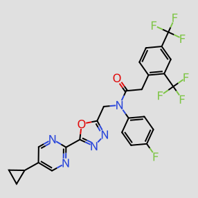 O=C(Cc1ccc(C(F)(F)F)cc1C(F)(F)F)N(Cc1nnc(-c2ncc(C3CC3)cn2)o1)c1ccc(F)cc1